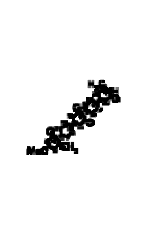 COC1=CC(=O)N(C2CCN(C3=CC(=O)N(C4CCN(C5=CC(=O)NC(C)C5)CC4)C(C)C3)CC2)C(C)C1